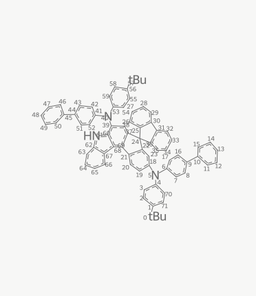 CC(C)(C)c1ccc(N(c2ccc(-c3ccccc3)cc2)c2ccc3c(c2)C2(c4ccccc4-c4ccccc42)c2cc(N(c4ccc(-c5ccccc5)cc4)c4ccc(C(C)(C)C)cc4)c4[nH]c5ccccc5c4c2-3)cc1